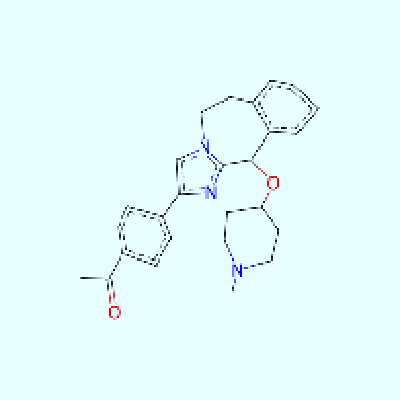 CC(=O)c1ccc(-c2cn3c(n2)C(OC2CCN(C)CC2)c2ccccc2CC3)cc1